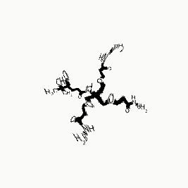 BNC(=O)CCOCC(COCCC(=O)NB)(COCCC(=O)NB)NC(=O)CCC(=O)C(C)(C)C